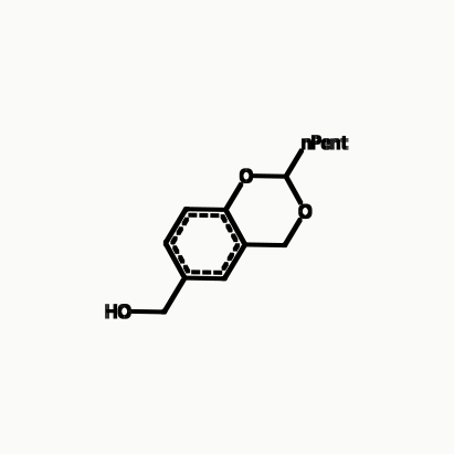 CCCCCC1OCc2cc(CO)ccc2O1